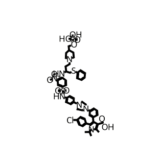 Cc1c(C(=O)O)c(-c2cccc(N3CCN(c4ccc(NS(=O)(=O)c5ccc(NC(CCN6CCC(COP(=O)(O)O)CC6)CSc6ccccc6)c([N+](=O)[O-])c5)cc4)CC3)c2)c(-c2ccc(Cl)cc2)n1C(C)C